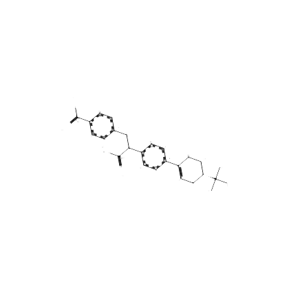 CC(C)(C)[C@H]1CC=C(c2ccc(C(Cc3ccc(C(=O)O)cc3)C(=O)O)cc2)CC1